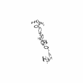 C[C@@](N)(CO)C(=O)N1CCN(C(=O)Nc2ccn(-c3ccc(CCN4CC5CC5(CN)C4)cc3)c(=O)n2)CC1.Cl